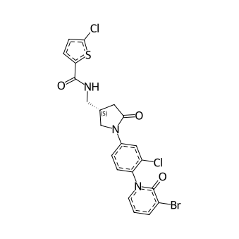 O=C(NC[C@@H]1CC(=O)N(c2ccc(-n3cccc(Br)c3=O)c(Cl)c2)C1)c1ccc(Cl)s1